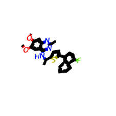 COc1cc2nc(C)nc(NC(C)c3ccc(-c4ccc(F)c5ccccc45)s3)c2cc1OC